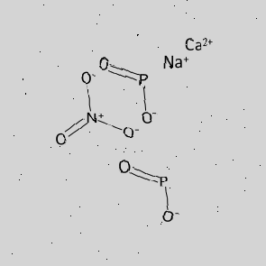 O=P[O-].O=P[O-].O=[N+]([O-])[O-].[Ca+2].[Na+]